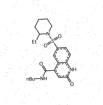 CCCCNC(=O)c1cc(=O)[nH]c2ccc(S(=O)(=O)N3CCCCC3CC)cc12